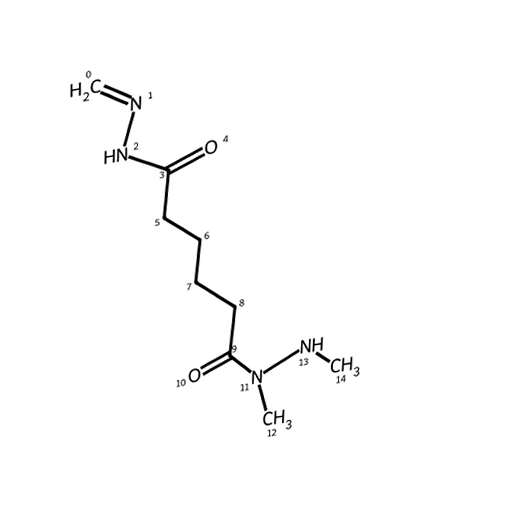 C=NNC(=O)CCCCC(=O)N(C)NC